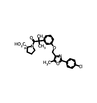 Cc1oc(-c2ccc(Cl)cc2)nc1COc1cccc(C(C)(C)C(=O)N2CCC[C@@H]2C(=O)O)c1